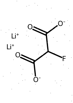 O=C([O-])C(F)C(=O)[O-].[Li+].[Li+]